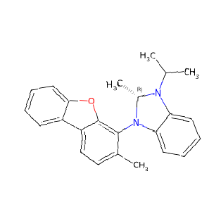 Cc1ccc2c(oc3ccccc32)c1N1c2ccccc2N(C(C)C)[C@H]1C